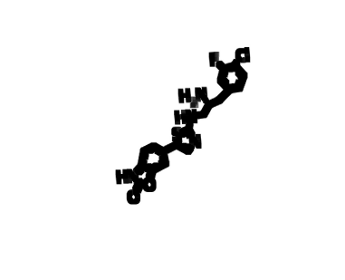 N[C@@H](CNc1ncc(-c2ccc3[nH]c(=O)oc3c2)s1)Cc1ccc(Cl)c(F)c1